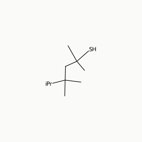 CC(C)C(C)(C)CC(C)(C)S